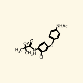 CC(=O)Nc1ccc(Sc2ccc(NC(=O)C(C)(C)OC(C)=O)c(Cl)c2)cc1